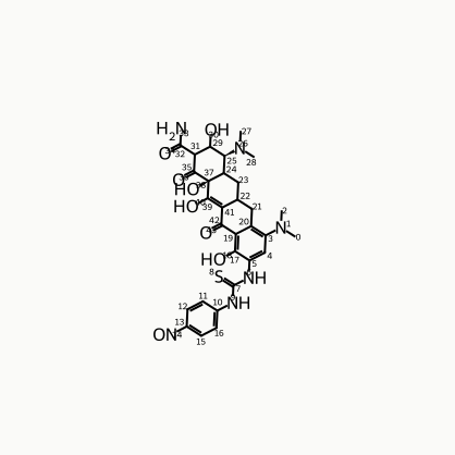 CN(C)c1cc(NC(=S)Nc2ccc(N=O)cc2)c(O)c2c1CC1CC3[C@H](N(C)C)C(O)C(C(N)=O)C(=O)[C@@]3(O)C(O)=C1C2=O